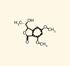 COc1cc(OC)c2c(c1)C([C@H](C)O)OC2=O